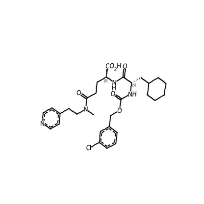 CN(CCc1ccncc1)C(=O)CC[C@H](NC(=O)[C@H](CC1CCCCC1)NC(=O)OCc1cccc(Cl)c1)C(=O)O